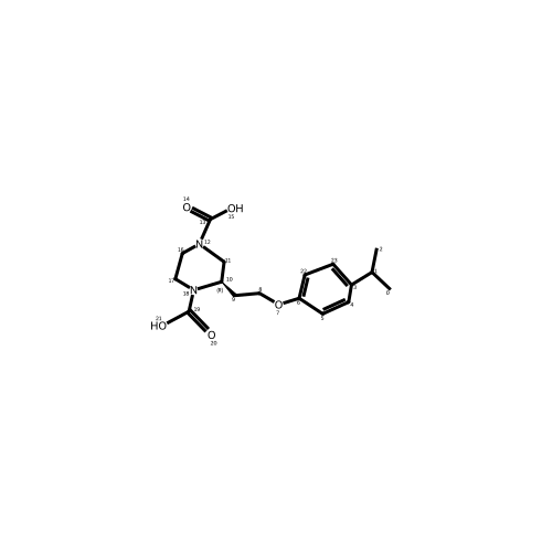 CC(C)c1ccc(OCC[C@@H]2CN(C(=O)O)CCN2C(=O)O)cc1